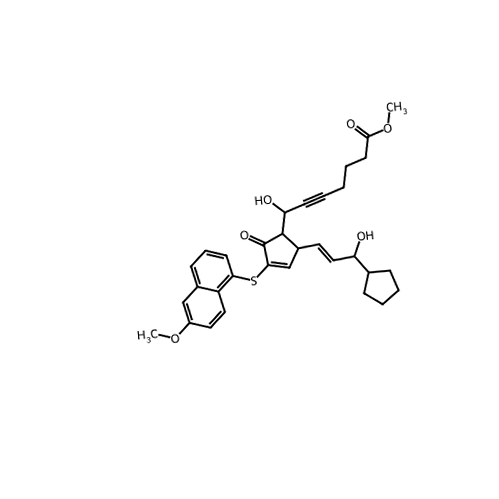 COC(=O)CCCC#CC(O)C1C(=O)C(Sc2cccc3cc(OC)ccc23)=CC1C=CC(O)C1CCCC1